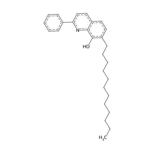 CCCCCCCCCCCCc1ccc2ccc(-c3ccccc3)nc2c1O